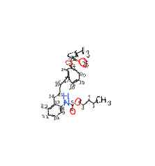 CCCCOC(=O)Nc1ccccc1CCCc1cccc(OC(C)=O)c1